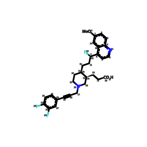 COc1ccc2nccc([C@H](F)CC[C@@H]3CCN(CC#Cc4ccc(F)c(F)c4)C[C@H]3CCC(=O)O)c2c1